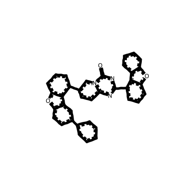 O=c1nc(-c2cccc3oc4ccccc4c23)nc2ccc(-c3cccc4oc5ccc(-c6ccccc6)cc5c34)cn12